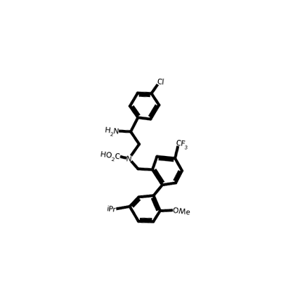 COc1ccc(C(C)C)cc1-c1ccc(C(F)(F)F)cc1CN(CC(N)c1ccc(Cl)cc1)C(=O)O